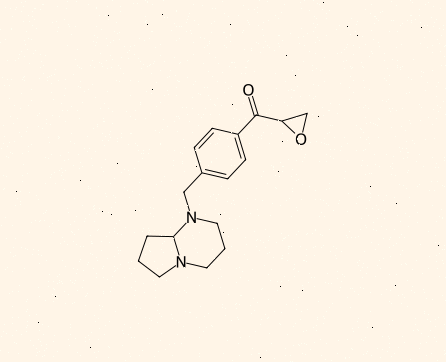 O=C(c1ccc(CN2CCCN3CCCC32)cc1)C1CO1